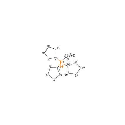 CC(=O)O[PH](C1CCCC1)(C1CCCC1)C1CCCC1